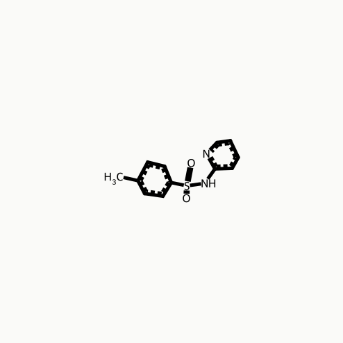 Cc1ccc(S(=O)(=O)Nc2ccccn2)cc1